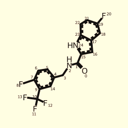 O=C(NCc1ccc(F)c(C(F)(F)F)c1)c1cc2cc(F)ccc2[nH]1